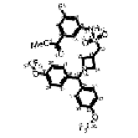 COC(=O)c1cc(F)cc(NS(=O)(=O)CC2CN(C(c3ccc(OC(F)(F)F)cc3)c3ccc(OC(F)(F)F)cc3)C2)c1